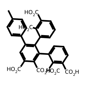 Cc1ccc(-c2cc(C(=O)O)c(C(=O)O)c(-c3cccc(C(=O)O)c3C(=O)O)c2-c2cccc(C(=O)O)c2C(=O)O)cc1